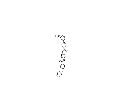 Cc1cccc(N2CCN(C(=O)Oc3ccc(NC(=O)c4ccc(CN5CCOCC5)cc4)cc3)CC2)n1